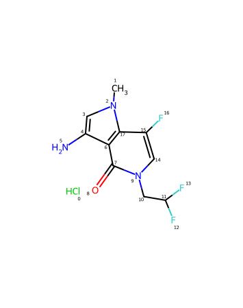 Cl.Cn1cc(N)c2c(=O)n(CC(F)F)cc(F)c21